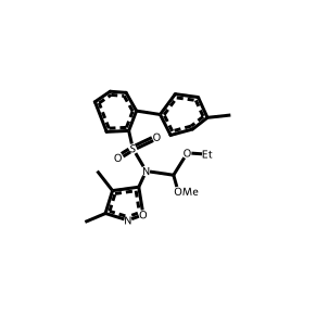 CCOC(OC)N(c1onc(C)c1C)S(=O)(=O)c1ccccc1-c1ccc(C)cc1